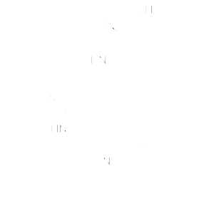 O=c1[nH]c(-c2ccccc2N2CCOCC2)cc2ccc(NC[C@@H](O)CO)cc12